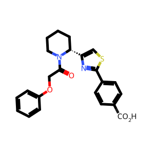 O=C(O)c1ccc(-c2nc([C@H]3CCCCN3C(=O)COc3ccccc3)cs2)cc1